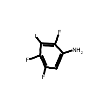 Nc1cc(F)c(F)c(I)c1F